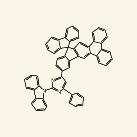 c1ccc(-c2cc(-c3ccc4c(c3)-c3cc5c6ccccc6c6ccccc6c5cc3C43c4ccccc4-c4ccccc43)nc(-n3c4ccccc4c4ccccc43)n2)cc1